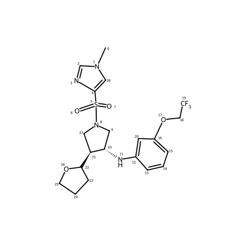 Cn1cnc(S(=O)(=O)N2C[C@H](Nc3cccc(OCC(F)(F)F)c3)[C@@H](C3CCCO3)C2)c1